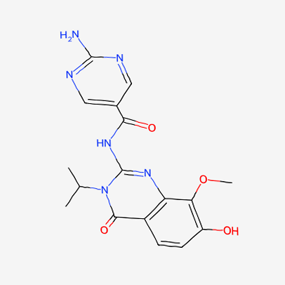 COc1c(O)ccc2c(=O)n(C(C)C)c(NC(=O)c3cnc(N)nc3)nc12